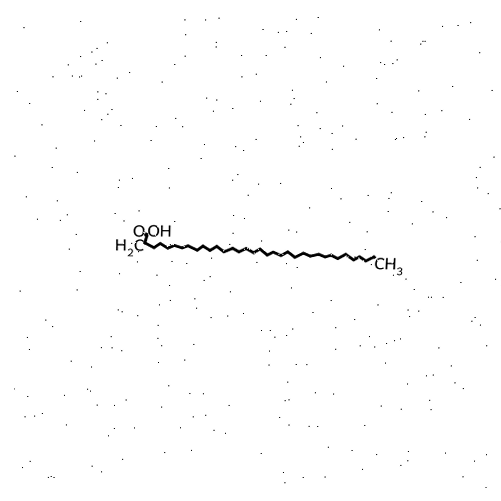 C=C(CCCCCCCCCCCCCCCCCCCCCCCCCCCCCCCCC)C(=O)O